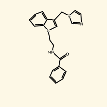 O=C(NCCn1cc(Cn2ccnc2)c2ccccc21)c1ccccc1